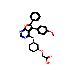 COc1ccc(-c2c(-c3ccccc3)oc3ncnc(C[C@H]4CCC[C@H](OCC(=O)O)C4)c23)cc1